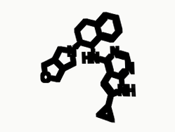 c1ccc2c(c1)CC[C@H](N1CC3COCC3C1)[C@H]2Nc1ncnc2[nH]c(C3CC3)cc12